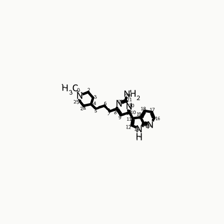 CN1CCC(CCCc2cc(-c3c[nH]c4ncccc34)nc(N)n2)CC1